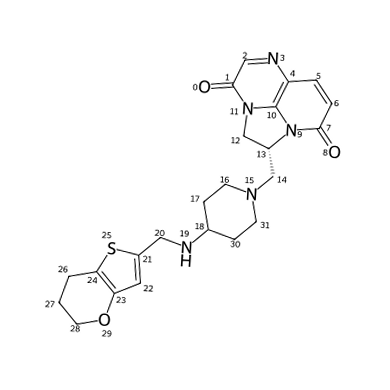 O=c1cnc2ccc(=O)n3c2n1C[C@H]3CN1CCC(NCc2cc3c(s2)CCCO3)CC1